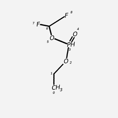 CCO[PH](=O)OC(F)F